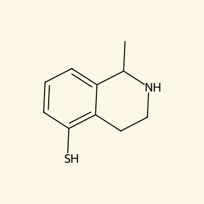 CC1NCCc2c(S)cccc21